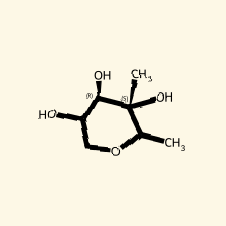 CC1OCC(O)[C@@H](O)[C@]1(C)O